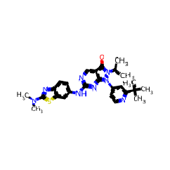 CC(C)n1c(=O)c2cnc(Nc3ccc4nc(N(C)C)sc4c3)nc2n1-c1ccnc(C(C)(C)C)c1